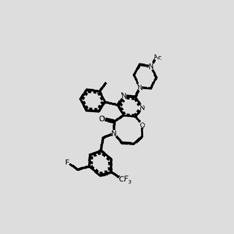 CC(=O)N1CCN(c2nc3c(c(-c4ccccc4C)n2)C(=O)N(Cc2cc(CF)cc(C(F)(F)F)c2)CCCO3)CC1